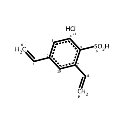 C=Cc1ccc(S(=O)(=O)O)c(C=C)c1.Cl